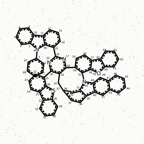 c1ccc(-n2c3ccccc3c3cccc(-c4nc5c(c(-c6cccc7c6sc6ccccc67)n4)Cc4ccc6c7cc8ccccc8cc7n(c6c4)-c4c-5ccc5c4oc4ccccc45)c32)cc1